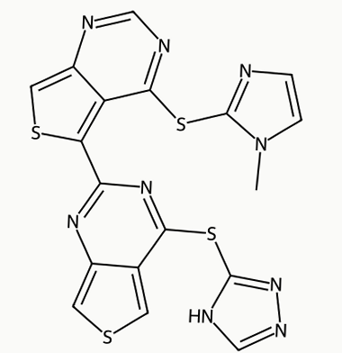 Cn1ccnc1Sc1ncnc2csc(-c3nc(Sc4nnc[nH]4)c4cscc4n3)c12